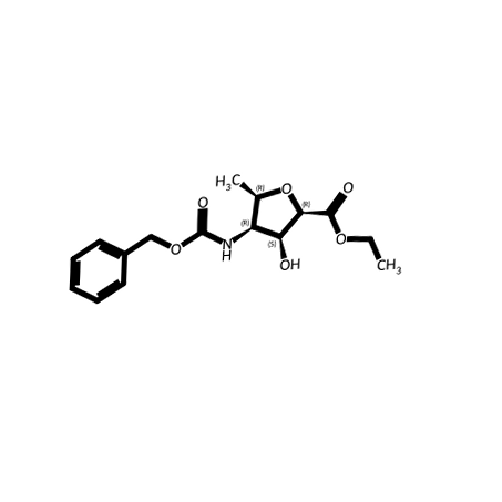 CCOC(=O)[C@@H]1O[C@H](C)[C@H](NC(=O)OCc2ccccc2)[C@@H]1O